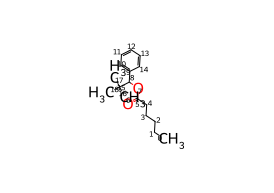 CCCCCC(=O)OC(c1ccccc1)C(C)(C)C